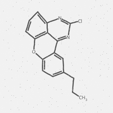 CCCc1ccc2c(c1)-c1nc(Cl)nc3cccc(c13)O2